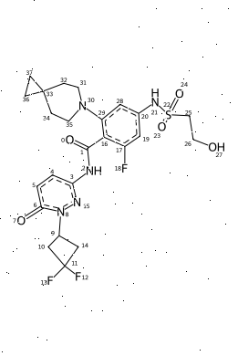 O=C(Nc1ccc(=O)n(C2CC(F)(F)C2)n1)c1c(F)cc(NS(=O)(=O)CCO)cc1N1CCC2(CC1)CC2